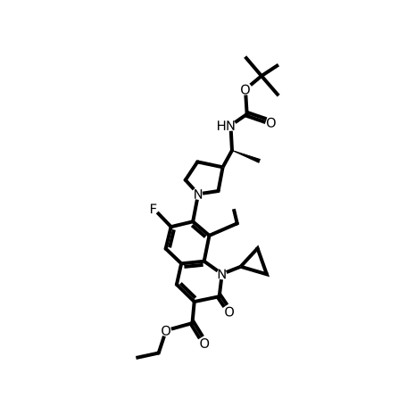 CCOC(=O)c1cc2cc(F)c(N3CCC([C@H](C)NC(=O)OC(C)(C)C)C3)c(CC)c2n(C2CC2)c1=O